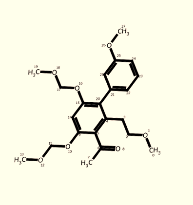 COCCc1c(C(C)=O)c(OCOC)cc(OCOC)c1-c1cccc(OC)c1